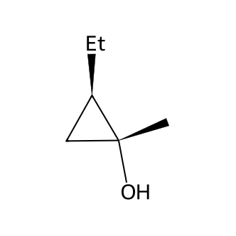 CC[C@@H]1C[C@@]1(C)O